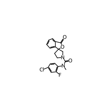 CN(C(=O)N1CCC2(C1)OC(=O)c1ccccc12)c1ccc(Cl)cc1F